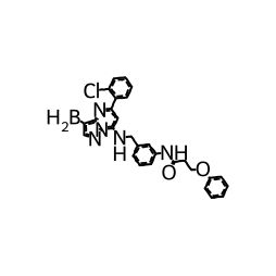 Bc1cnn2c(NCc3cccc(NC(=O)CCOc4ccccc4)c3)cc(-c3ccccc3Cl)nc12